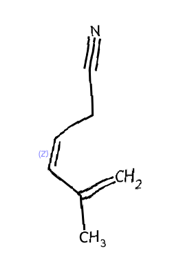 C=C(C)/C=C\CC#N